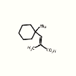 CC(=CC1(C(C)(C)C)CCCCC1)C(=O)O